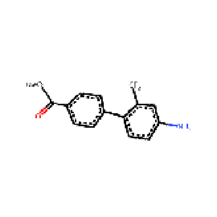 COC(=O)c1ccc(-c2ccc(N)cc2C(F)(F)F)cc1